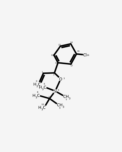 C=CC(O[Si](C)(C)C(C)(C)C)c1cccc(Cl)c1